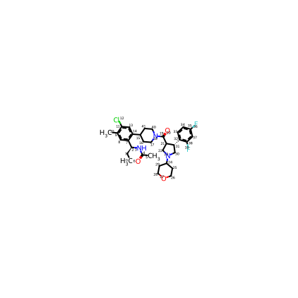 CC[C@H](NC(C)=O)c1cc(C)c(Cl)cc1C1CCN(C(=O)C2CN(C3CCOCC3)C[C@H]2c2ccc(F)cc2F)CC1